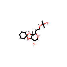 CC(C)(O)OCCC1OC[C@H](O)C2OC3(CCCCC3)O[C@H]12